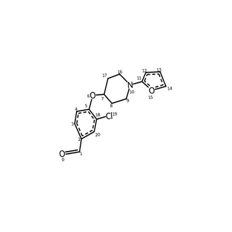 O=Cc1ccc(OC2CCN(c3ccco3)CC2)c(Cl)c1